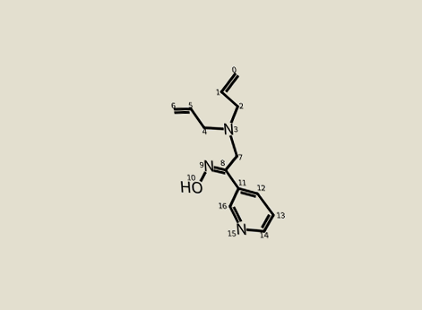 C=CCN(CC=C)C/C(=N/O)c1cccnc1